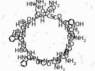 CCCC[C@H]1C(=O)N(C)[C@@H](CCCC)C(=O)N[C@@H](CCCNC(=N)N)C(=O)NC(C(=O)NCC(N)=O)CSCC(=O)N[C@@H](Cc2ccc(O)cc2)C(=O)N(C)[C@@H](C)C(=O)N[C@@H](CC(N)=O)C(=O)N2CCC[C@H]2C(=O)N[C@@H](CC(N)=O)C(=O)N[C@@H](CC(N)=O)C(=O)N2CCC[C@H]2C(=O)N[C@@H](Cc2c[nH]c3ccccc23)C(=O)N[C@@H](CO)C(=O)N[C@@H](Cc2csc3ccccc23)C(=O)N1C